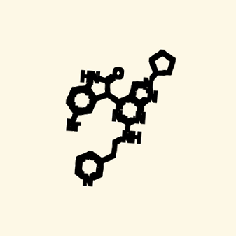 O=C1Nc2ccc(Br)cc2C1c1nc(NCCc2cccnc2)nc2nn(C3CCCC3)cc12